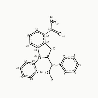 COC(c1ccccc1)C1Cc2c(C(N)=O)cccc2N1c1ccccn1